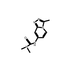 Cc1nnc2cc(NC(=O)N(C)C)ccn12